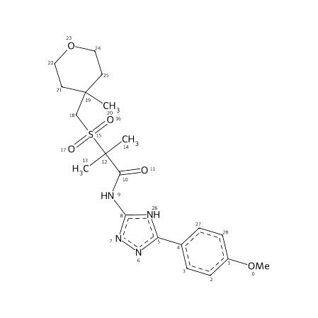 COc1ccc(-c2nnc(NC(=O)C(C)(C)S(=O)(=O)CC3(C)CCOCC3)[nH]2)cc1